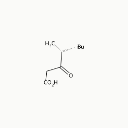 CC[C@@H](C)[C@@H](C)C(=O)CC(=O)O